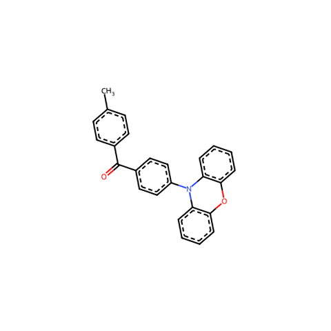 Cc1ccc(C(=O)c2ccc(N3c4ccccc4Oc4ccccc43)cc2)cc1